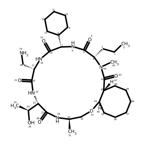 CCC[C@H]1C(=O)N[C@@H](C2CCCCC2)C(=O)N[C@@H](CN)C(=O)N[C@@H]([C@H](C)O)C(=O)N[C@H](C)CO[C@@H]2CCCCCC[C@H]2C(=O)N1C